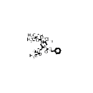 C[C@H]1CN(C(=O)OCc2ccccc2)[C@@H](COS(C)(=O)=O)CN1C(=O)OC(C)(C)C